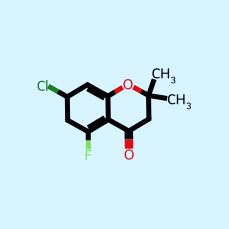 CC1(C)CC(=O)C2=C(F)CC(Cl)C=C2O1